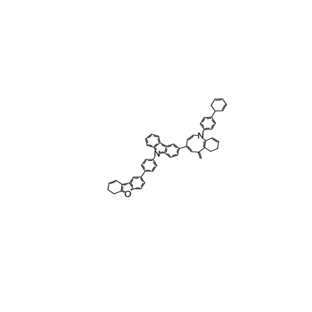 C=C1/C=C(c2ccc3c(c2)c2ccccc2n3-c2ccc(-c3ccc4oc5c(c4c3)C=CCC5)cc2)\C=C/N(c2ccc(C3C=CC=CC3)cc2)C2=C1CCC=C2